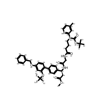 COC(=O)C[C@H](NC(=O)CNC(=O)CCCN(C(=O)OC(C)(C)C)c1cc(C)ccn1)c1ccc(-c2ccc(OCc3ccccc3)cc2OC(F)(F)F)cc1